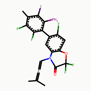 CC(C)=C=CN1C(=O)C(F)(F)Oc2cc(F)c(-c3c(F)c(F)c(C)c(I)c3P)cc21